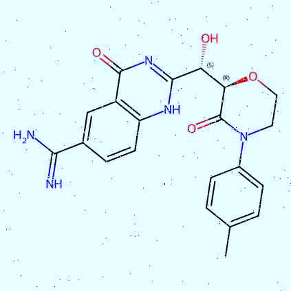 Cc1ccc(N2CCO[C@H]([C@@H](O)c3nc(=O)c4cc(C(=N)N)ccc4[nH]3)C2=O)cc1